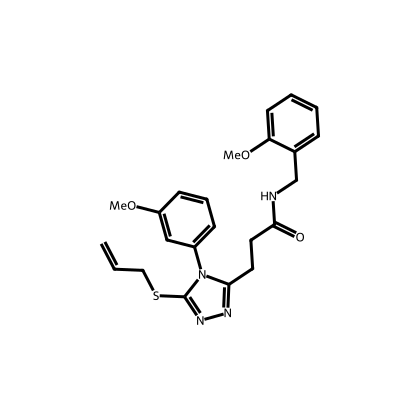 C=CCSc1nnc(CCC(=O)NCc2ccccc2OC)n1-c1cccc(OC)c1